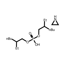 C1CN1.CCCCC(CC)COP(=O)(O)OCC(CC)CCCC